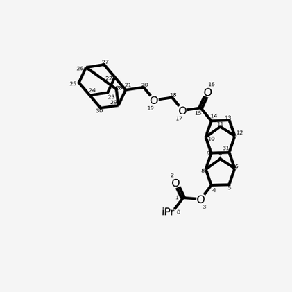 CC(C)C(=O)OC1CC2CC1C1C3CC(CC3C(=O)OCOCC3C4CC5CC(C4)CC3C5)C21